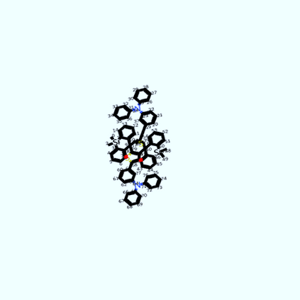 C[Si]1(C)c2ccccc2C2(c3ccccc31)c1cc(-c3cccc(N(c4ccccc4)c4ccccc4)c3)sc1C1(c3ccccc3[Si](C)(C)c3ccccc31)c1cc(-c3cccc(N(c4ccccc4)c4ccccc4)c3)sc12